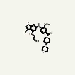 COc1cc(C(=O)N2CCC(N3CCOCC3)CC2)ccc1Nc1cc(NCCO)c2c(C(F)(F)F)c[nH]c2n1